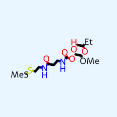 CCC(CO)OC(COC(=O)NCCC(=O)NCCSSC)OC